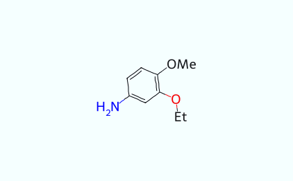 [CH2]COc1cc(N)ccc1OC